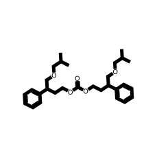 CC(C)COCC(CCOC(=O)OCCC(COCC(C)C)c1ccccc1)c1ccccc1